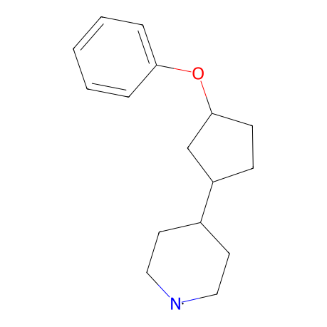 c1ccc(OC2CCC(C3CC[N]CC3)C2)cc1